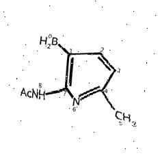 Bc1ccc(C)nc1NC(C)=O